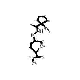 CC1(C(=O)NNC2CCC(C(=O)NN)OC2)CCCC1